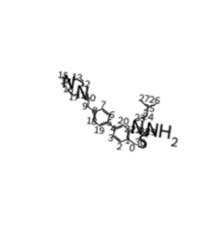 Cc1ccc(-c2ccc(CCN3CCN(C)CC3)cc2)cc1N(CCC(C)C)C(N)=S